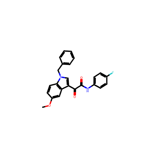 COc1ccc2c(c1)c(C(=O)C(=O)Nc1ccc(F)cc1)cn2Cc1ccccc1